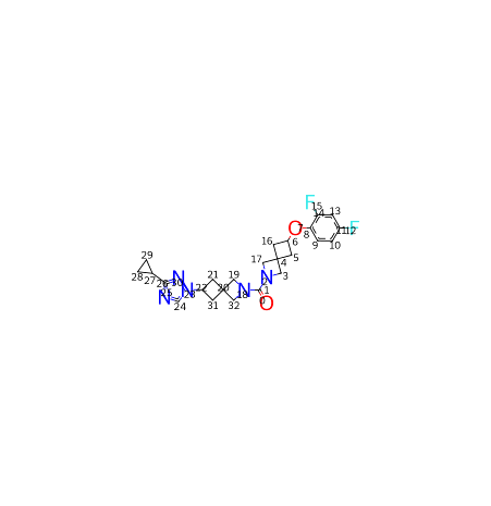 O=C(N1CC2(CC(Oc3ccc(F)cc3F)C2)C1)N1CC2(CC(n3cnc(C4CC4)n3)C2)C1